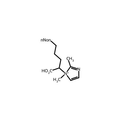 CCCCCCCCCCCCC(C(=O)O)[N+]1(C)C=CN=C1C